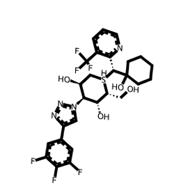 OC[C@@H]1[C@H](O)[C@@H](n2cc(-c3cc(F)c(F)c(F)c3)nn2)[C@@H](O)C[SH]1[C@H](c1ncccc1C(F)(F)F)C1(O)CCCCC1